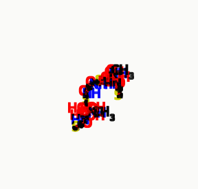 CC(=O)N[C@H]1[C@H]([C@H](O)[C@H](O)CNC(=O)c2ccc(-c3cccs3)cc2)O[C@@](OCCCSCCNC(=O)c2ccc(C(=O)NCCSCCCO[C@]3(C(=O)O)C[C@H](O)[C@@H](NC(C)=O)[C@H]([C@H](O)[C@H](O)CNC(=O)c4ccc(-c5cccs5)cc4)O3)cc2)(C(=O)O)C[C@@H]1O